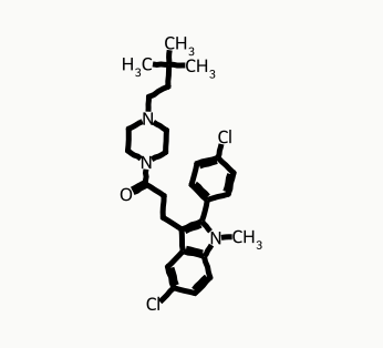 Cn1c(-c2ccc(Cl)cc2)c(CCC(=O)N2CCN(CCC(C)(C)C)CC2)c2cc(Cl)ccc21